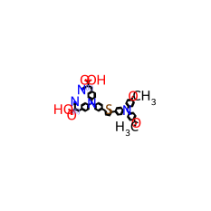 COc1ccc(N(c2ccc(OC)cc2)c2ccc(-c3ccc(-c4ccc(N(c5ccc(/C=C(\C#N)C(=O)O)cc5)c5ccc(/C=C(\C#N)C(=O)O)cc5)cc4)s3)cc2)cc1